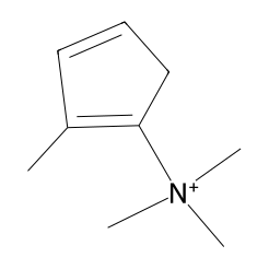 CC1=C([N+](C)(C)C)CC=C1